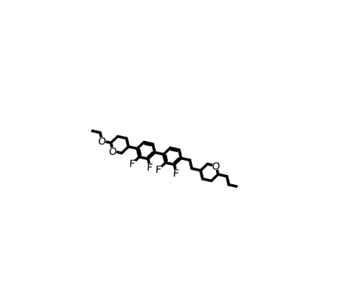 CCCC1CCC(CCc2ccc(-c3ccc(C4CCC(OCC)OC4)c(F)c3F)c(F)c2F)CO1